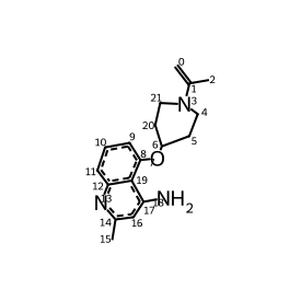 C=C(C)N1CCC(Oc2cccc3nc(C)cc(N)c23)CC1